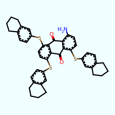 Nc1ccc(Sc2ccc3c(c2)CCCC3)c2c1C(=O)c1c(Sc3ccc4c(c3)CCCC4)ccc(Sc3ccc4c(c3)CCCC4)c1C2=O